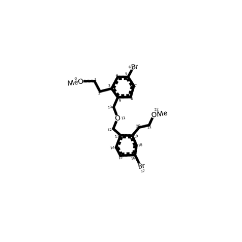 COCCc1cc(Br)ccc1COCc1ccc(Br)cc1CCOC